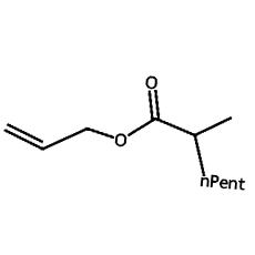 C=CCOC(=O)C(C)CCCCC